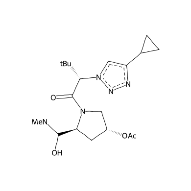 CNC(O)[C@@H]1C[C@@H](OC(C)=O)CN1C(=O)[C@@H](n1cc(C2CC2)nn1)C(C)(C)C